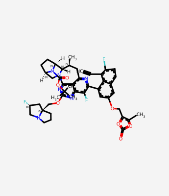 C#Cc1c(F)ccc2cc(OCc3oc(=O)oc3C)cc(-c3nc4c5c(nc(OC[C@@]67CCCN6C[C@H](F)C7)nc5c3F)N3C[C@H]5CC[C@@H]([C@@H]3[C@@H](C)C4)N5C(=O)OC(C)(C)C)c12